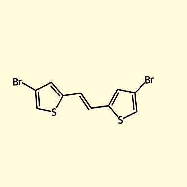 Brc1csc(C=Cc2cc(Br)cs2)c1